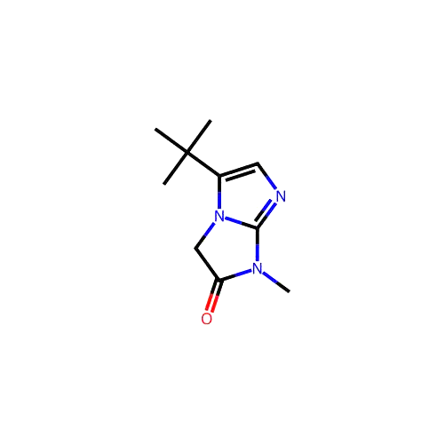 CN1C(=O)Cn2c(C(C)(C)C)cnc21